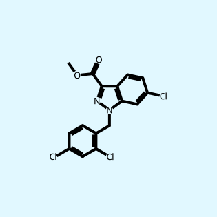 COC(=O)c1nn(Cc2ccc(Cl)cc2Cl)c2cc(Cl)ccc12